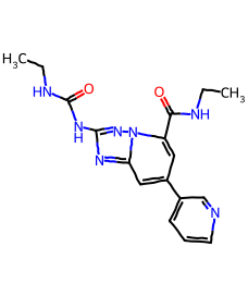 CCNC(=O)Nc1nc2cc(-c3cccnc3)cc(C(=O)NCC)n2n1